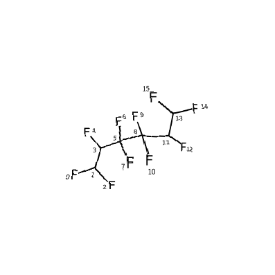 FC(F)C(F)C(F)(F)C(F)(F)C(F)C(F)F